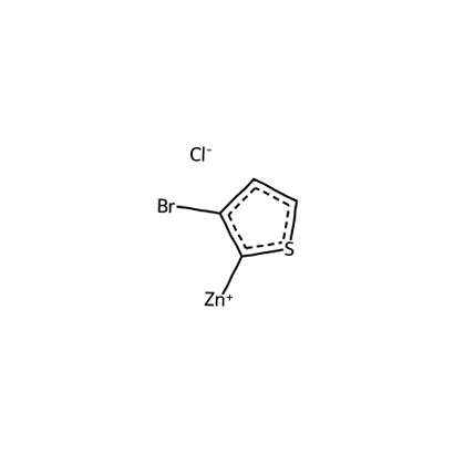 [Cl-].[Zn+][c]1sccc1Br